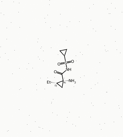 CC[C@H]1C[C@]1(N)C(=O)NS(=O)(=O)C1CC1